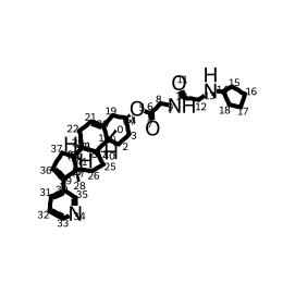 C[C@]12CC[C@H](OC(=O)CNC(=O)CNC3CCCC3)CC1=CC[C@@H]1[C@@H]2CC[C@]2(C)C(c3cccnc3)=CC[C@@H]12